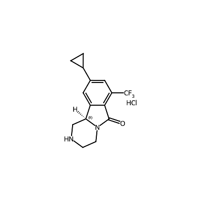 Cl.O=C1c2c(cc(C3CC3)cc2C(F)(F)F)[C@@H]2CNCCN12